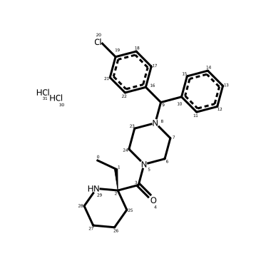 CC[C@@]1(C(=O)N2CCN(C(c3ccccc3)c3ccc(Cl)cc3)CC2)CCCCN1.Cl.Cl